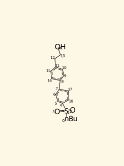 CCCCS(=O)(=O)c1ccc(-c2ccc(CCO)cc2)cc1